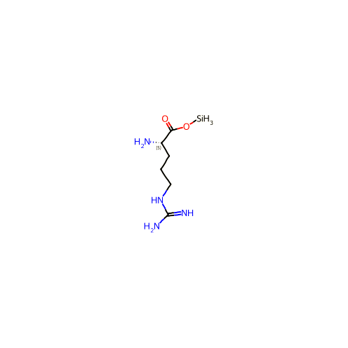 N=C(N)NCCC[C@H](N)C(=O)O[SiH3]